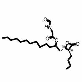 CCCCCCCCCCCC(C[C@@H]1OC(=O)[C@H]1CCCC)OC(=O)CNC=O